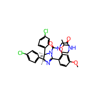 COc1ccc(C2=N[C@@](C)(c3ccc(Cl)cc3)[C@@](C)(c3ccc(Cl)cc3)N2C(=O)N2CCNC(=O)C2)c(OC(C)C)c1